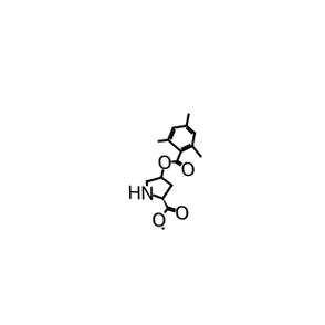 COC(=O)[C@@H]1CC(OC(=O)c2c(C)cc(C)cc2C)CN1